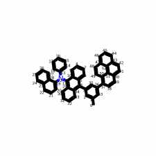 Cc1cc(-c2c3ccccc3c(N(c3ccccc3)c3cccc4ccccc34)c3ccccc23)cc(-c2ccc3ccc4cccc5ccc2c3c45)c1